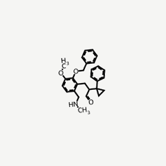 CNCc1ccc(OC)c(OCc2ccccc2)c1CC(C=O)C1(c2ccccc2)CC1